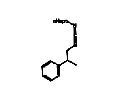 CCCCCCCN=C=NCC(C)c1ccccc1